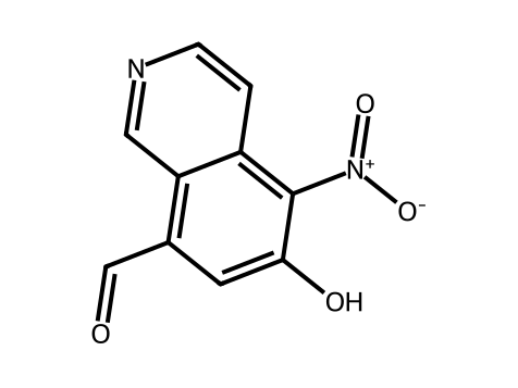 O=Cc1cc(O)c([N+](=O)[O-])c2ccncc12